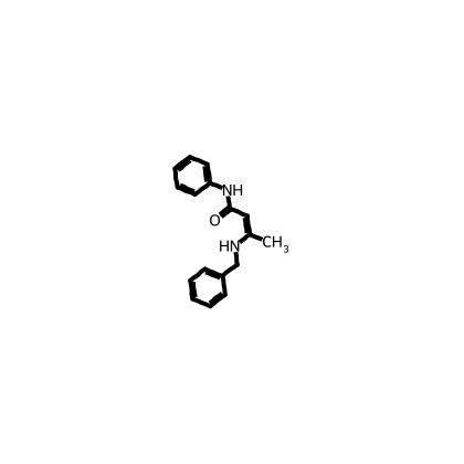 CC(=CC(=O)Nc1ccccc1)NCc1ccccc1